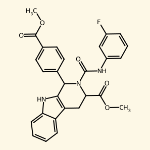 COC(=O)c1ccc(C2c3[nH]c4ccccc4c3CC(C(=O)OC)N2C(=O)Nc2cccc(F)c2)cc1